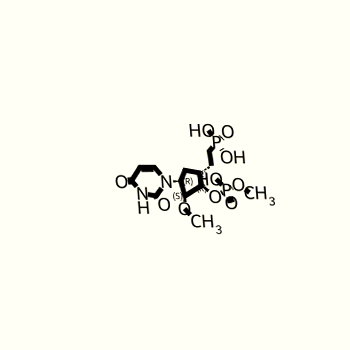 CO[C@@H]1[C@H](OP(=O)(O)OC)[C@@H](CCP(=O)(O)O)C[C@H]1n1ccc(=O)[nH]c1=O